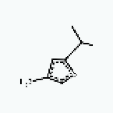 Bc1csc(C(C)C)c1